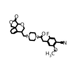 COc1cc(CC(=O)N2CCN(CC3COC4C(=O)OCC45CCCC=C35)CC2)c(F)cc1C#N